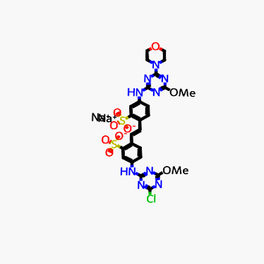 COc1nc(Cl)nc(Nc2ccc(C=Cc3ccc(Nc4nc(OC)nc(N5CCOCC5)n4)cc3S(=O)(=O)[O-])c(S(=O)(=O)[O-])c2)n1.[Na+].[Na+]